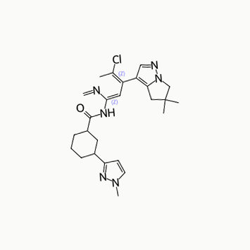 C=N/C(=C\C(=C(/C)Cl)c1cnn2c1CC(C)(C)C2)NC(=O)C1CCCC(c2ccn(C)n2)C1